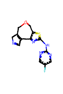 Fc1cnc(Nc2nc3c(s2)COCC2=C3C=NC2)nc1